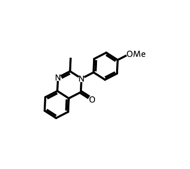 COc1ccc(-n2c(C)nc3ccccc3c2=O)cc1